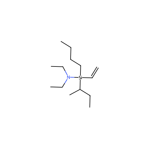 C=C[Si](CCCC)(C(C)CC)N(CC)CC